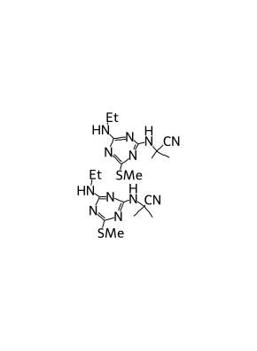 CCNc1nc(NC(C)(C)C#N)nc(SC)n1.CCNc1nc(NC(C)(C)C#N)nc(SC)n1